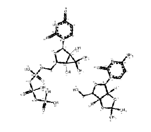 CC1(C)O[C@@H]2[C@H](O1)[C@@H](CO)O[C@H]2n1ccc(N)nc1=O.CC1(C)[C@]2(O)[C@H](n3ccc(=O)[nH]c3=O)O[C@H](COP(=O)(O)OP(=O)(O)OP(=O)(O)O)[C@]12O